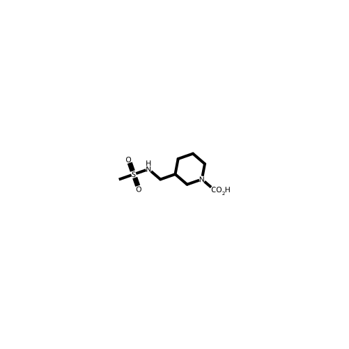 CS(=O)(=O)NCC1CCCN(C(=O)O)C1